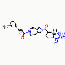 N#Cc1cccc(/C=C/C(=O)N2C=CC3=C[N+](C(=O)C4=C[C@H]5NNNC5CC4)=CC3=CC2)c1